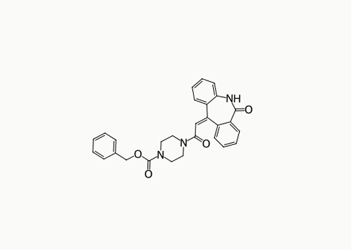 O=C1Nc2ccccc2/C(=C/C(=O)N2CCN(C(=O)OCc3ccccc3)CC2)c2ccccc21